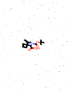 C=C(C)C1(C(NC(=O)OC(C)(C)C)C(=O)O)CCC1